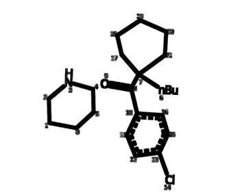 C1CCNCC1.CCCCC1(C(=O)c2ccc(Cl)cc2)CCCCC1